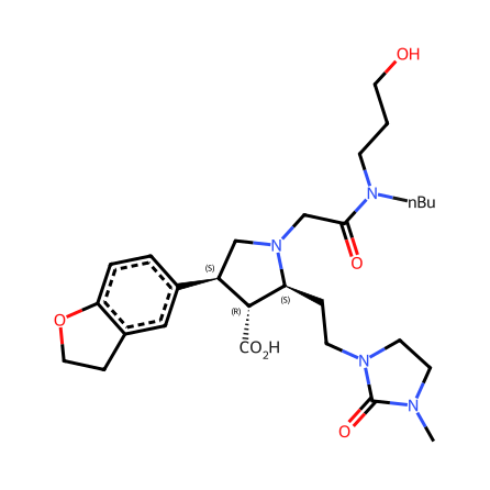 CCCCN(CCCO)C(=O)CN1C[C@H](c2ccc3c(c2)CCO3)[C@@H](C(=O)O)[C@@H]1CCN1CCN(C)C1=O